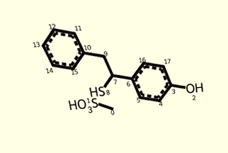 CS(=O)(=O)O.Oc1ccc(C(S)Cc2ccccc2)cc1